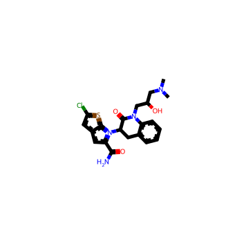 CN(C)CC(O)CN1C(=O)C(n2c(C(N)=O)cc3cc(Cl)sc32)Cc2ccccc21